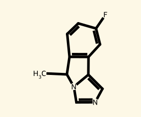 CC1c2ccc(F)cc2-c2cncn21